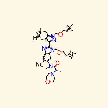 C[C@@H](C(=O)N(C)c1cc2c(cc1C#N)nc(-c1nn(COCC[Si](C)(C)C)c3c1C[C@@H]1C[C@]1(C)C3)n2COCC[Si](C)(C)C)N1CCOCC1